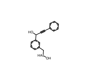 O[AsH]Cc1cccc(C(O)C#Cc2ccccc2)c1